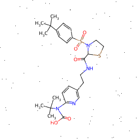 CC(C)(C)c1ccc(S(=O)(=O)N2CCSC2C(=O)NCCc2ccc(N(C(=O)O)C(C)(C)C)nc2)cc1